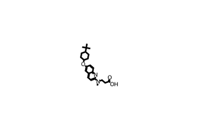 CN(CCC(=O)O)c1ccc2cc(OC3CCC(C(C)(C)C)CC3)ccc2n1